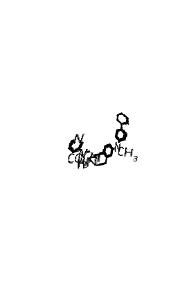 CN(c1ccc(C2CCCCC2)cc1)c1ccc2c(c1)CCN[C@@H]2CNc1cnccc1C(=O)O